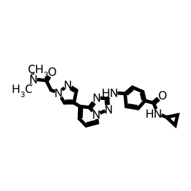 CN(C)C(=O)Cn1cc(-c2cccn3nc(Nc4ccc(C(=O)NC5CC5)cc4)nc23)cn1